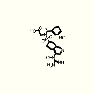 C[C@@H](c1ccccc1)N(CC(=O)O)S(=O)(=O)c1ccc2c(N(Cl)C(=N)N)cncc2c1.Cl